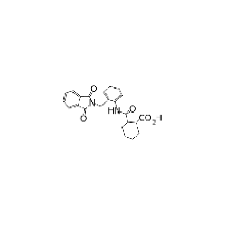 O=C(O)C1CCCCC1C(=O)Nc1ccccc1CN1C(=O)c2ccccc2C1=O